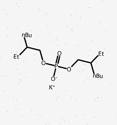 CCCCC(CC)COP(=O)([O-])OCC(CC)CCCC.[K+]